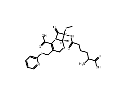 CO[C@@]1(NC(=O)CCCC(N)C(=O)O)C(=O)N2C(C(=O)O)=C(CSc3ccccn3)CS[C@H]21